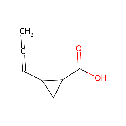 C=C=CC1CC1C(=O)O